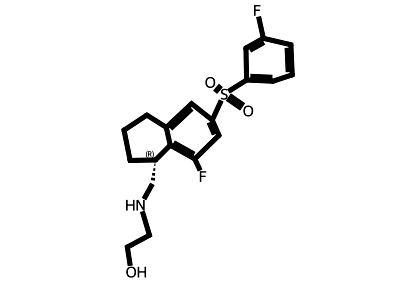 O=S(=O)(c1cccc(F)c1)c1cc(F)c2c(c1)CCC[C@H]2CNCCO